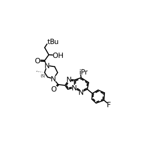 CC(C)c1cc(-c2ccc(F)cc2)nn2cc(C(=O)N3CCN(C(=O)C(O)CC(C)(C)C)[C@@H](C)C3)nc12